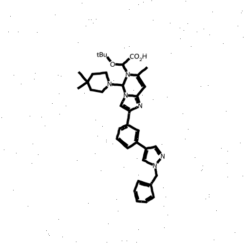 CC1=Cc2nc(-c3cccc(-c4cnn(Cc5ccccc5)c4)c3)cn2C(N2CCC(C)(C)CC2)N1C(OC(C)(C)C)C(=O)O